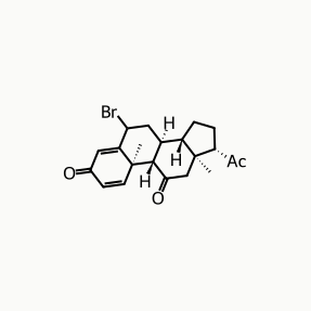 CC(=O)[C@H]1CC[C@H]2[C@@H]3CC(Br)C4=CC(=O)C=C[C@]4(C)[C@H]3C(=O)C[C@]12C